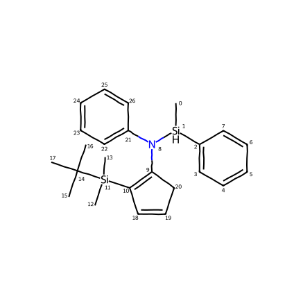 C[SiH](c1ccccc1)N(C1=C([Si](C)(C)C(C)(C)C)C=CC1)c1ccccc1